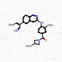 CN/C=C(\C=N)c1ccc2cnc(Nc3ccc(C(=O)N4CC(OC)C4)cc3OC)cc2c1